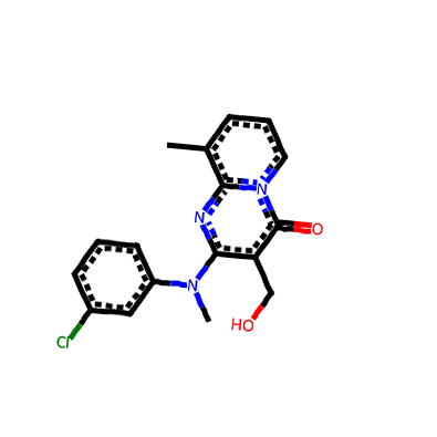 Cc1cccn2c(=O)c(CO)c(N(C)c3cccc(Cl)c3)nc12